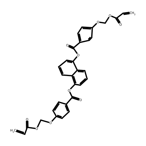 C=CC(=O)OCOc1ccc(C(=O)Oc2cccc3c(OC(=O)c4ccc(OCOC(=O)C=C)cc4)cccc23)cc1